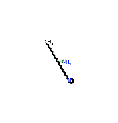 CCCCCCCCCCCCCCCCCCCCCC[n+]1ccccc1.Cl.N